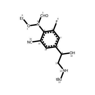 CCON(C=O)c1c(F)cc(C(O)CNC(C)(C)C)cc1C#N